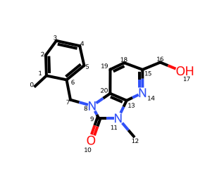 Cc1ccccc1Cn1c(=O)n(C)c2nc(CO)ccc21